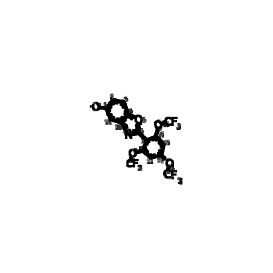 [O]c1ccc2oc(-c3c(OC(F)(F)F)cc(OC(F)(F)F)cc3OC(F)(F)F)nc2c1